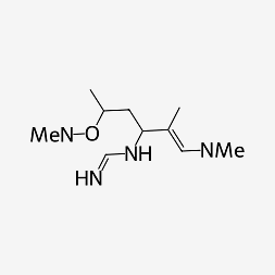 CN/C=C(\C)C(CC(C)ONC)NC=N